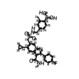 CNC(=O)c1c(-c2ccc(F)cc2)nn2cc(CS(=O)(=O)NCc3ccc(B(O)O)c(C)c3)c(C3CC3)cc12